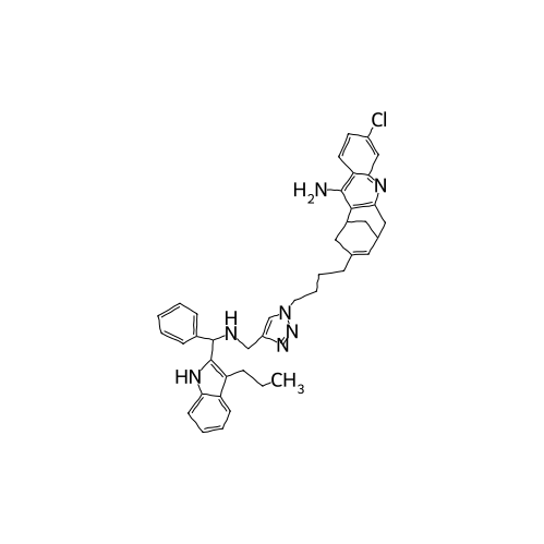 CCCc1c(C(NCc2cn(CCCCC3=CC4Cc5nc6cc(Cl)ccc6c(N)c5C(C3)C4)nn2)c2ccccc2)[nH]c2ccccc12